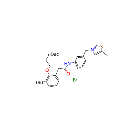 CCCCCCCCCCCCOc1c(CC(=O)Nc2cccc(C[n+]3csc(C)c3)c2)cccc1C(C)(C)C.[Br-]